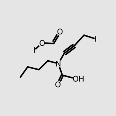 CCCCN(C#CCI)C(=O)O.O=COI